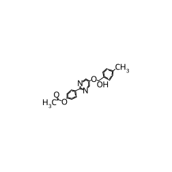 CC(=O)Oc1ccc(-c2ncc(OC(O)c3ccc(C)cc3)cn2)cc1